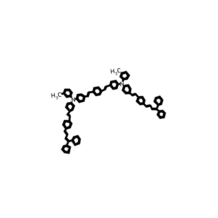 Cc1cccc(N(c2ccc(/C=C/c3ccc(/C=C/C=C(c4ccccc4)c4ccccc4)cc3)cc2)c2ccc(/C=C/c3ccc(/C=C/c4ccc(N(c5ccc(/C=C/c6ccc(/C=C/C=C(c7ccccc7)c7ccccc7)cc6)cc5)c5cccc(C)c5)cc4)cc3)cc2)c1